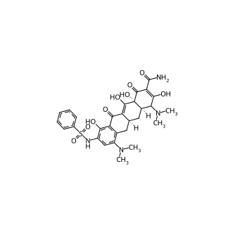 CN(C)c1cc(NS(=O)(=O)c2ccccc2)c(O)c2c1C[C@@H]1C[C@@H]3C(N(C)C)C(O)=C(C(N)=O)C(=O)[C@]3(O)C(O)=C1C2=O